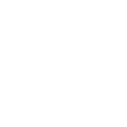 CN(C)C(=O)n1c(=O)n(C)c2cnc(-c3ccc(C(F)F)cc3)nc21